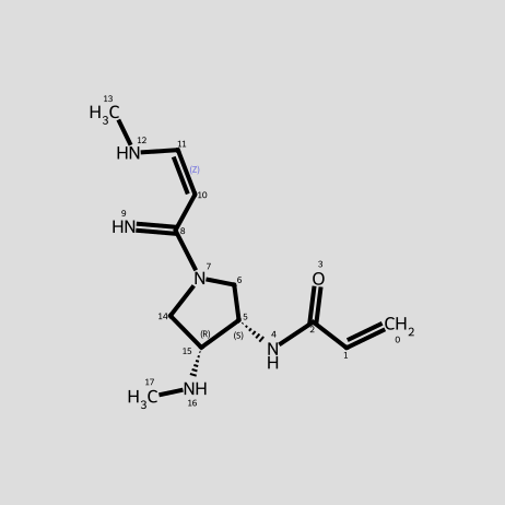 C=CC(=O)N[C@H]1CN(C(=N)/C=C\NC)C[C@H]1NC